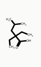 CCC(CC)(CC(C)C)C(=O)O